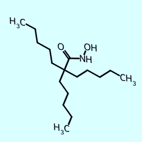 CCCCCC(CCCCC)(CCCCC)C(=O)NO